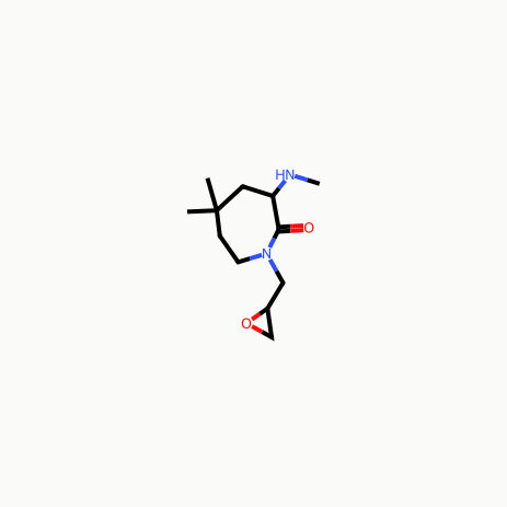 CNC1CC(C)(C)CCN(CC2CO2)C1=O